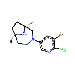 Clc1ncc(N2CC[C@H]3CC[C@@H](C2)N3)cc1Br